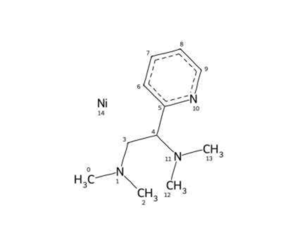 CN(C)CC(c1ccccn1)N(C)C.[Ni]